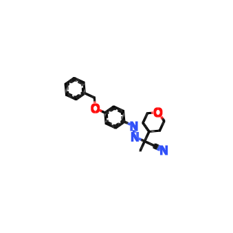 CC(C#N)(/N=N/c1ccc(OCc2ccccc2)cc1)C1CCOCC1